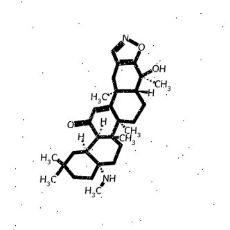 CN[C@]12CCC(C)(C)C[C@H]1[C@H]1C(=O)C=C3[C@@]4(C)Cc5cnoc5[C@@](C)(O)[C@@H]4CC[C@@]3(C)[C@]1(C)CC2